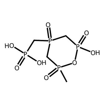 CP1(=O)CP(=O)(CP(=O)(O)O)CP(=O)(O)O1